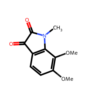 COc1ccc2c(c1OC)N(C)C(=O)C2=O